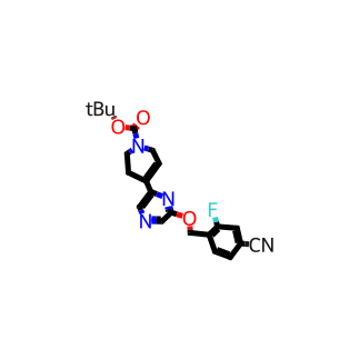 CC(C)(C)OC(=O)N1CC=C(c2cncc(OCc3ccc(C#N)cc3F)n2)CC1